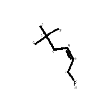 CC(C)(C)C/C=C\CF